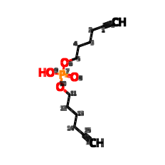 C#CCCCCOP(=O)(O)OCCCCC#C